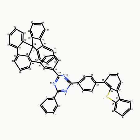 c1ccc(-c2nc(-c3ccc(-c4cccc5c4sc4ccccc45)cc3)nc(-c3cccc(-c4cccc5c4C4(c6ccccc6-c6ccccc64)c4ccccc4-5)c3)n2)cc1